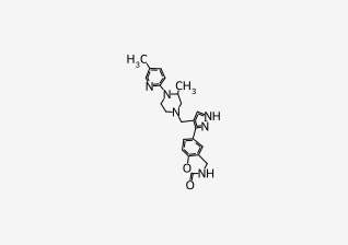 Cc1ccc(N2CCN(Cc3c[nH]nc3-c3ccc4c(c3)CNC(=O)O4)CC2C)nc1